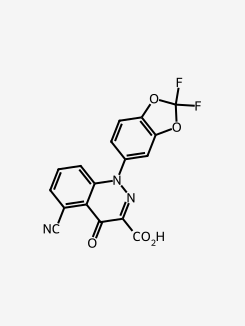 N#Cc1cccc2c1c(=O)c(C(=O)O)nn2-c1ccc2c(c1)OC(F)(F)O2